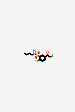 CCCCNS(=O)(=O)c1cc(C(=O)CBr)ccc1Cl